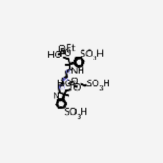 CCOP(=O)(O)CCC1(C)/C(=C/C=C/C=C/C2=Nc3ccc(S(=O)(=O)O)cc3C2(C)CCP(=O)(O)OCCS(=O)(=O)O)Nc2ccc(S(=O)(=O)O)cc21